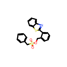 O=S(=O)(Cc1ccccc1)OCc1ccccc1-c1nc2ccccc2s1